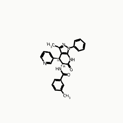 Cc1cccc(C(=O)N[C@H]2C(=O)Nc3c(c(C)nn3-c3ccccc3)[C@@H]2c2cccnc2)c1